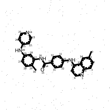 Cc1ccc2nccc(Nc3ccc(C(=O)Nc4cc(Nc5ccncc5)ccc4C)cc3)c2c1